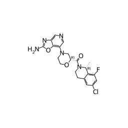 C[C@@H]1c2c(F)cc(Cl)cc2CCN1C(=O)[C@H]1CN(c2cncc3nc(N)oc23)CCO1